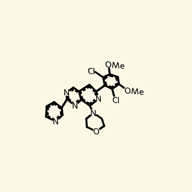 COc1cc(OC)c(Cl)c(-c2cc3cnc(-c4cccnc4)nc3c(N3CCOCC3)n2)c1Cl